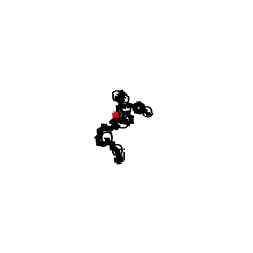 C=C(CC(C)CC1CC=CC(CCO[Si](C)(C)C(C)(C)C)O1)CC(/C=C/CC(OCc1ccc(OC)cc1)C1COC(C)(C)O1)O[Si](C(C)C)(C(C)C)C(C)C